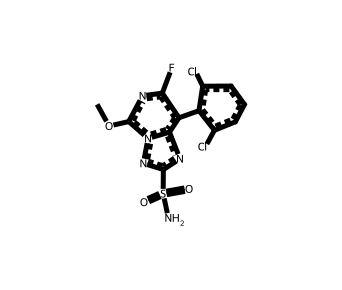 COc1nc(F)c(-c2c(Cl)cccc2Cl)c2nc(S(N)(=O)=O)nn12